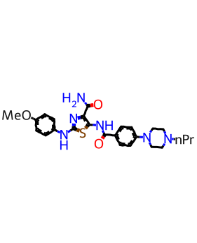 CCCN1CCN(c2ccc(C(=O)Nc3sc(Nc4ccc(OC)cc4)nc3C(N)=O)cc2)CC1